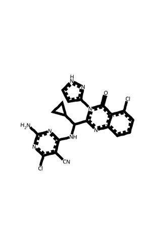 N#Cc1c(Cl)nc(N)nc1NC(c1nc2cccc(Cl)c2c(=O)n1-c1cc[nH]n1)C1CC1